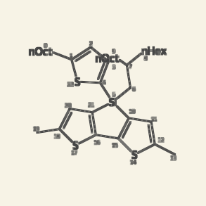 CCCCCCCCc1ccc([Si]2(CC(CCCCCC)CCCCCCCC)c3cc(C)sc3-c3sc(C)cc32)s1